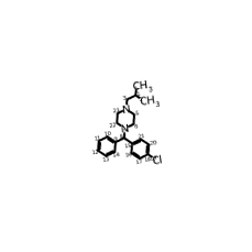 CC(C)CN1CCN(C(c2ccccc2)c2ccc(Cl)cc2)CC1